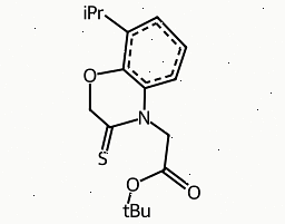 CC(C)c1cccc2c1OCC(=S)N2CC(=O)OC(C)(C)C